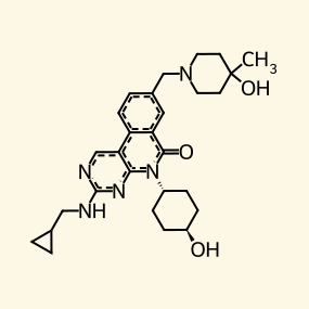 CC1(O)CCN(Cc2ccc3c(c2)c(=O)n([C@H]2CC[C@H](O)CC2)c2nc(NCC4CC4)ncc32)CC1